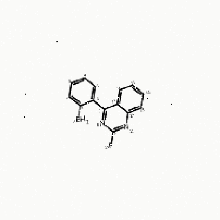 Bc1ccccc1-c1nc(F)nc2ccccc12